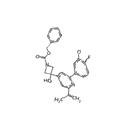 C=C(C)c1cc(C2(O)CN(C(=O)OCc3ccccc3)C2)cc(-c2ccc(F)c(Cl)c2)n1